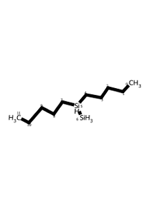 CCCCC[SiH]([SiH3])CCCCC